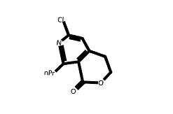 CCCc1nc(Cl)cc2c1C(=O)OCC2